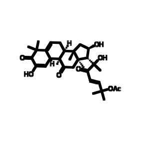 CC(=O)OC(C)(C)/C=C/C(=O)C(C)(O)[C@H]1[C@H](O)C[C@@]2(C)[C@@H]3CC=C4[C@@H](C=C(O)C(=O)C4(C)C)[C@]3(C)C(=O)C[C@]12C